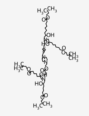 CC(C)CCOC(=O)CCCCCCC(O)CN(CCCSSCCN1CCN(CCOC(=O)CCCN(CC(O)CCCCC(=O)OCCC(C)C)CC(O)CCCCC(=O)OCCC(C)C)CC1)CC(O)CCCCCCC(=O)OCCC(C)C